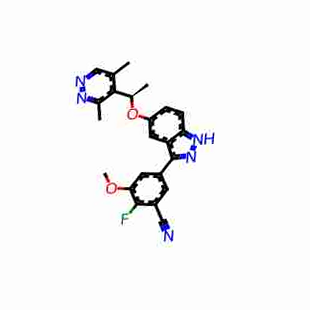 COc1cc(-c2n[nH]c3ccc(O[C@H](C)c4c(C)cnnc4C)cc23)cc(C#N)c1F